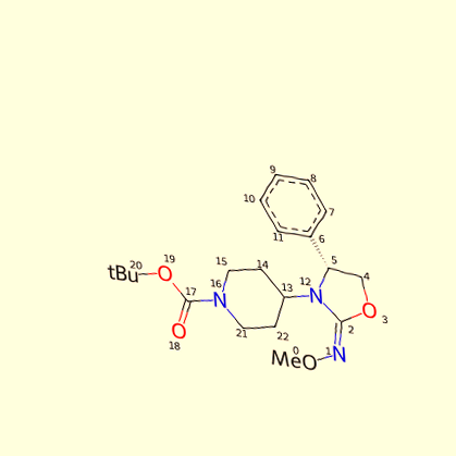 CON=C1OC[C@@H](c2ccccc2)N1C1CCN(C(=O)OC(C)(C)C)CC1